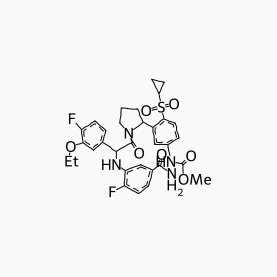 CCOc1cc(C(Nc2cc(C(N)=O)ccc2F)C(=O)N2CCCC2c2cc(NC(=O)OC)ccc2S(=O)(=O)C2CC2)ccc1F